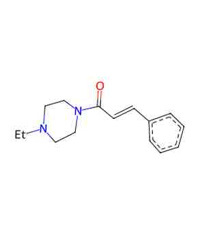 CCN1CCN(C(=O)/C=C/c2ccccc2)CC1